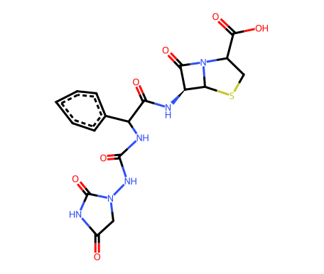 O=C1CN(NC(=O)NC(C(=O)N[C@H]2C(=O)N3C(C(=O)O)CSC23)c2ccccc2)C(=O)N1